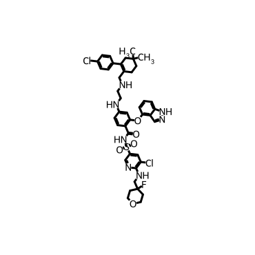 CC1(C)CCC(CNCCNc2ccc(C(=O)NS(=O)(=O)c3cnc(NCC4(F)CCOCC4)c(Cl)c3)c(Oc3cccc4[nH]ncc34)c2)=C(c2ccc(Cl)cc2)C1